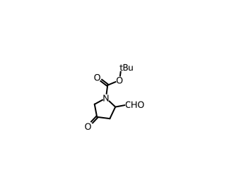 CC(C)(C)OC(=O)N1CC(=O)CC1C=O